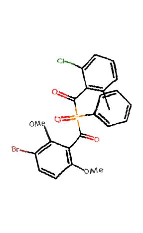 COc1ccc(Br)c(OC)c1C(=O)P(=O)(C(=O)c1c(C)cccc1Cl)c1ccccc1